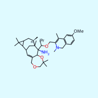 COc1ccc2c(c1)C(C)=C(COC(C(C)C)C1(N)C3OC(C)(C)COCC3=CC3CC1(C)[C@H](C)CC1C3C1(C)C)N(C)C2